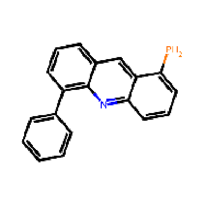 Pc1cccc2nc3c(-c4ccccc4)cccc3cc12